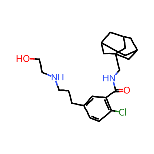 O=C(NCC12CC3CC(CC(C3)C1)C2)c1cc(CCCNCCO)ccc1Cl